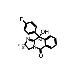 C[C@H]1CN2C(=O)c3ccccc3[C@@](O)(c3ccc(F)cc3)C2=N1